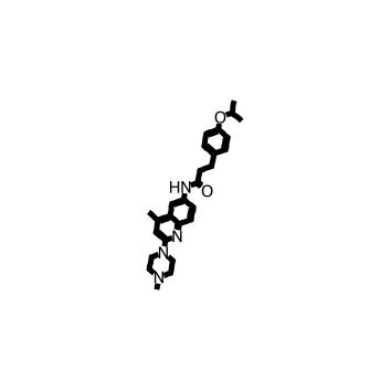 Cc1cc(N2CCN(C)CC2)nc2ccc(NC(=O)CCc3ccc(OC(C)C)cc3)cc12